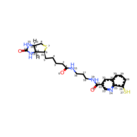 O=C(CCCC[C@@H]1SC[C@@H]2NC(=O)N[C@@H]21)NCCCNC(=O)c1cnc2c(S)cccc2c1